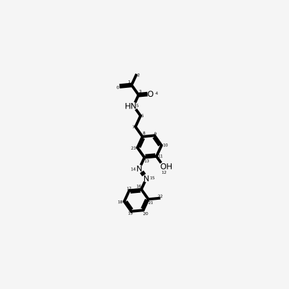 C=C(C)C(=O)NCCc1ccc(O)c(/N=N/c2ccccc2C)c1